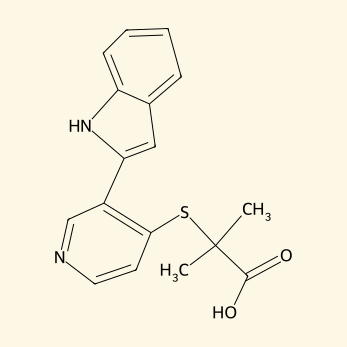 CC(C)(Sc1ccncc1-c1cc2ccccc2[nH]1)C(=O)O